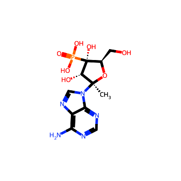 C[C@@]1(n2cnc3c(N)ncnc32)O[C@H](CO)[C@](O)(P(=O)(O)O)[C@H]1O